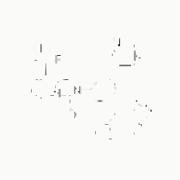 Cn1cnnc1C(c1cc(-c2cncnc2)cc(-n2cc3c(C(F)(F)F)cccn3c2=O)c1)C1CCC1